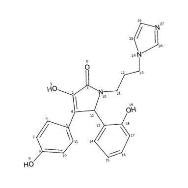 O=C1C(O)=C(c2ccc(O)cc2)C(c2ccccc2O)N1CCCn1ccnc1